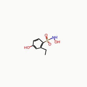 CCc1cc(O)ccc1S(=O)(=O)NO